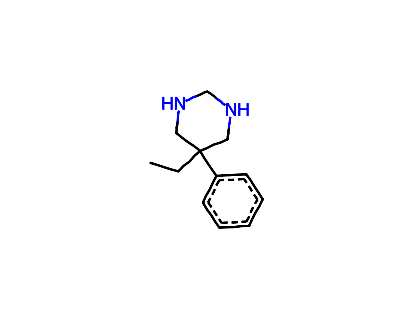 CCC1(c2ccccc2)CNCNC1